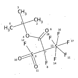 CC(C)(C)OC(=O)C(F)(S(=O)(=O)F)S(F)(F)(F)(F)F